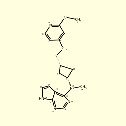 COc1cc(SC[C@H]2C[C@@H](N(C)c3ncnc4[nH]ccc34)C2)ccn1